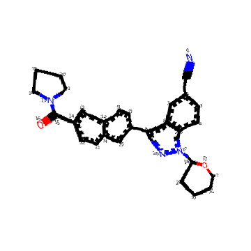 N#Cc1ccc2c(c1)c(-c1ccc3cc(C(=O)N4CCCC4)ccc3c1)nn2C1CCCCO1